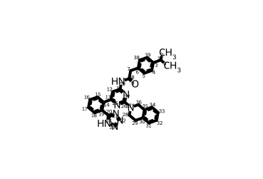 CC(C)c1ccc(CC(=O)Nc2cc(-c3ccccc3-c3nnn[nH]3)nc(N3CCc4ccccc4C3)n2)cc1